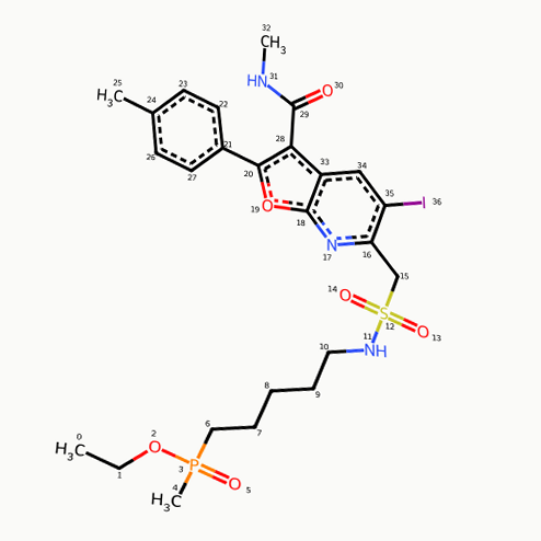 CCOP(C)(=O)CCCCCNS(=O)(=O)Cc1nc2oc(-c3ccc(C)cc3)c(C(=O)NC)c2cc1I